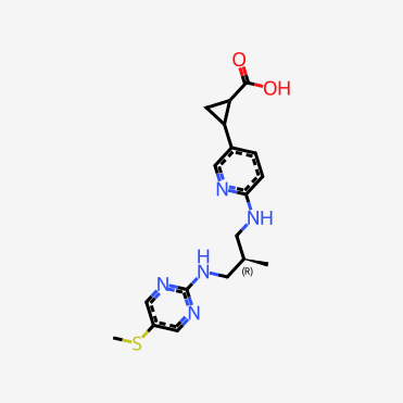 CSc1cnc(NC[C@H](C)CNc2ccc(C3CC3C(=O)O)cn2)nc1